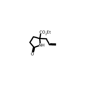 C=CCC1(C(=O)OCC)CCC(=O)N1